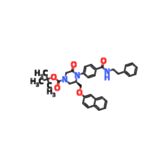 CC(C)(C)OC(=O)N1CC(=O)N(c2ccc(C(=O)NCCc3ccccc3)cc2)[C@@H](COc2ccc3ccccc3c2)C1